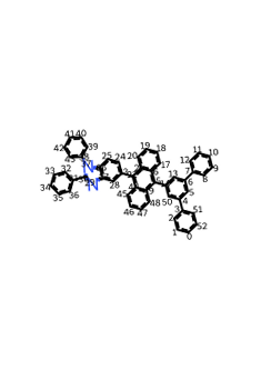 c1ccc(-c2cc(-c3ccccc3)cc(-c3c4ccccc4c(-c4ccc5c(c4)nc(-c4ccccc4)n5-c4ccccc4)c4ccccc34)c2)cc1